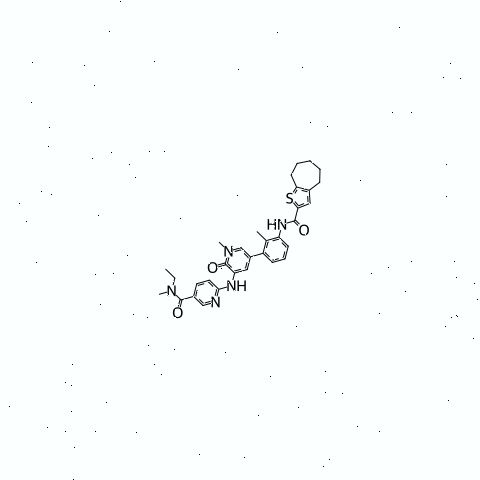 CCN(C)C(=O)c1ccc(Nc2cc(-c3cccc(NC(=O)c4cc5c(s4)CCCCC5)c3C)cn(C)c2=O)nc1